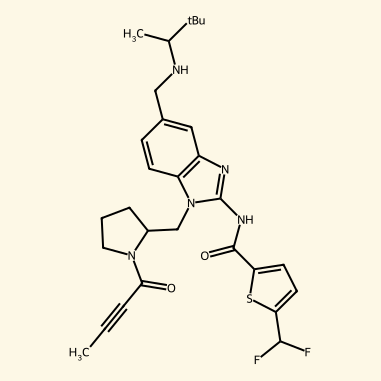 CC#CC(=O)N1CCCC1Cn1c(NC(=O)c2ccc(C(F)F)s2)nc2cc(CNC(C)C(C)(C)C)ccc21